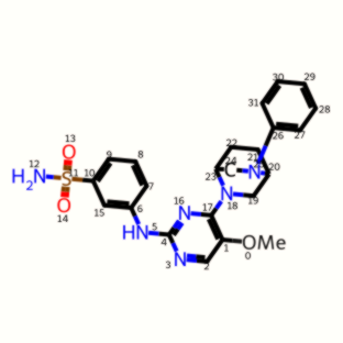 COc1cnc(Nc2cccc(S(N)(=O)=O)c2)nc1N1CC2CCC1CN2c1ccccc1